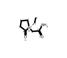 CC[N@@+]1(CC(N)=O)CCCC1=O